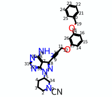 N#CN1CCC[C@@H](n2nc(C#CCOc3cccc(OCc4ccccc4)c3)c3c(N)ncnc32)C1